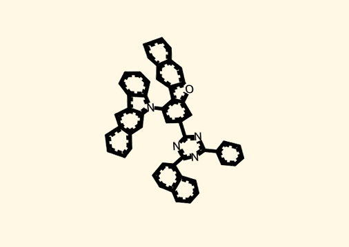 c1ccc(-c2nc(-c3cc(-n4c5ccccc5c5cc6ccccc6cc54)c4c(c3)oc3cc5ccccc5cc34)nc(-c3cccc4ccccc34)n2)cc1